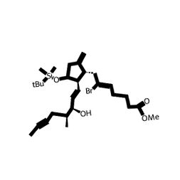 C=C1CC(O[Si](C)(C)C(C)(C)C)[C@H](/C=C/[C@@H](O)[C@@H](C)CC#CC)[C@H]1C/C(Br)=C/CCCC(=O)OC